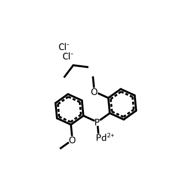 CCC.COc1ccccc1[P]([Pd+2])c1ccccc1OC.[Cl-].[Cl-]